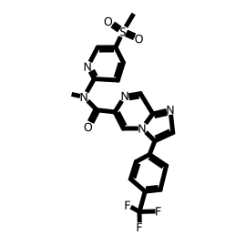 CN(C(=O)c1cn2c(-c3ccc(C(F)(F)F)cc3)cnc2cn1)c1ccc(S(C)(=O)=O)cn1